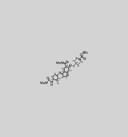 CNC(=O)Nc1ccc(Oc2ccnc3cc(OCC4CCN(C(=O)OC(C)(C)C)CC4)c(C(=O)NC)cc23)cc1C